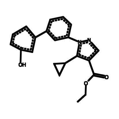 CCOC(=O)c1cnn(-c2cccc(-c3cccc(O)c3)c2)c1C1CC1